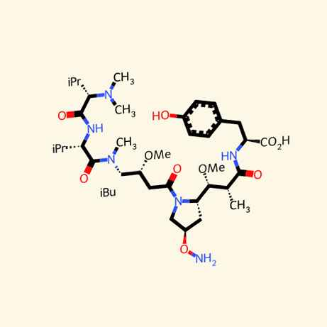 CC[C@H](C)[C@@H]([C@@H](CC(=O)N1C[C@H](ON)C[C@H]1[C@H](OC)[C@@H](C)C(=O)N[C@@H](Cc1ccc(O)cc1)C(=O)O)OC)N(C)C(=O)[C@@H](NC(=O)[C@H](C(C)C)N(C)C)C(C)C